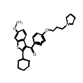 COc1ccc2c(C(=O)c3ccc(OCCCN4CCCC4)cc3)c(C3CCCCC3)sc2c1